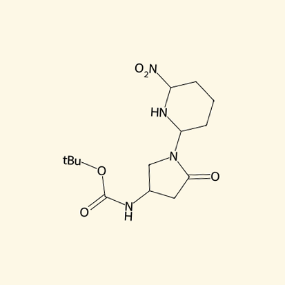 CC(C)(C)OC(=O)NC1CC(=O)N(C2CCCC([N+](=O)[O-])N2)C1